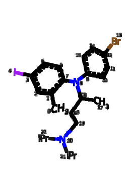 Cc1cc(I)ccc1N(c1ccc(Br)cc1)C(C)CCN(C(C)C)C(C)C